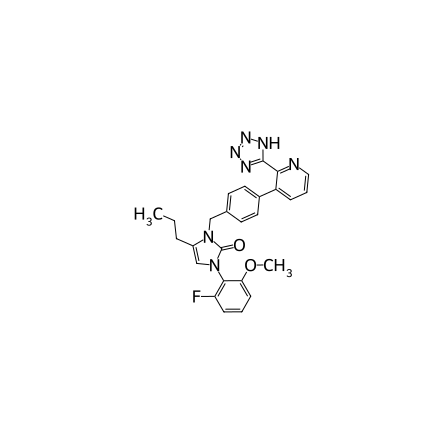 CCCc1cn(-c2c(F)cccc2OC)c(=O)n1Cc1ccc(-c2cccnc2-c2nnn[nH]2)cc1